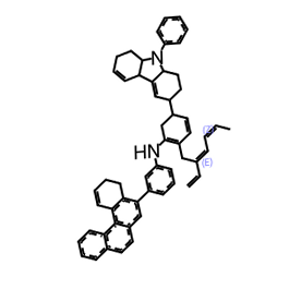 C=C/C(=C/C=C\C)CC1=C(Nc2cccc(-c3cc4ccc5ccccc5c4c4c3CCC=C4)c2)CC(C2C=C3C4C=CCCC4N(c4ccccc4)C3CC2)C=C1